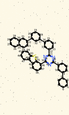 c1ccc(-c2cccc(-c3nc(-c4cccc(-c5cccc(-c6ccc7ccccc7c6)c5)c4)nc(-c4cccc5c4sc4ccccc45)n3)c2)cc1